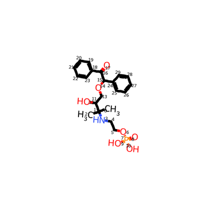 CC(C)(NCCOP(=O)(O)O)C(O)COC(C(=O)c1ccccc1)c1ccccc1